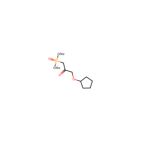 COP(=O)(CC(=O)COC1CCCC1)OC